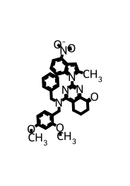 COc1ccc(CN(Cc2ccccc2)c2nc(-n3c(C)cc4c([N+](=O)[O-])cccc43)nc3c2CCCC3=O)c(OC)c1